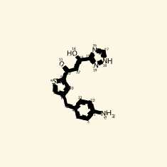 Nc1ccc(Cc2csc(C(=O)C=C(O)c3nc[nH]n3)c2)cc1